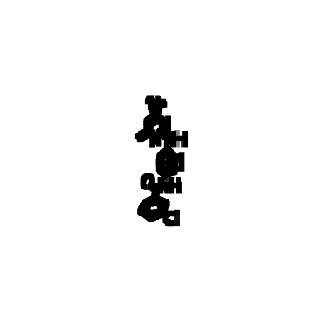 Cc1cc(N(C)C)nc(N[C@H]2CC[C@@H](NC(=O)c3cccc(Cl)c3)CC2)n1.Cl